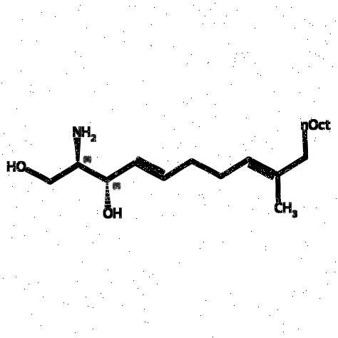 CCCCCCCCCC(C)=CCCC=C[C@H](O)[C@H](N)CO